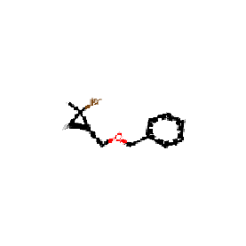 CC1(Br)CC1COCc1ccccc1